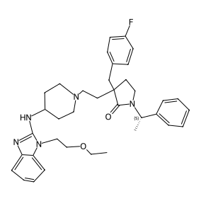 CCOCCn1c(NC2CCN(CCC3(Cc4ccc(F)cc4)CCN([C@@H](C)c4ccccc4)C3=O)CC2)nc2ccccc21